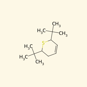 CC(C)(C)C1C=CCC(C(C)(C)C)S1